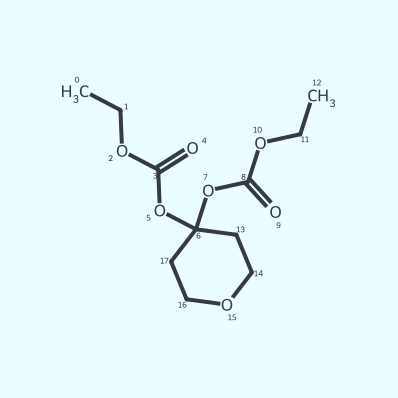 CCOC(=O)OC1(OC(=O)OCC)CCOCC1